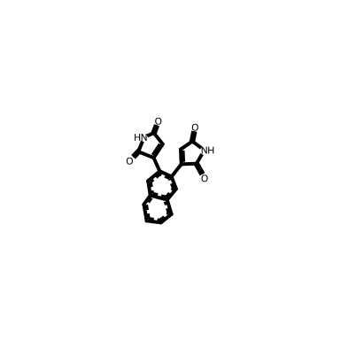 O=C1C=C(c2cc3ccccc3cc2C2=CC(=O)NC2=O)C(=O)N1